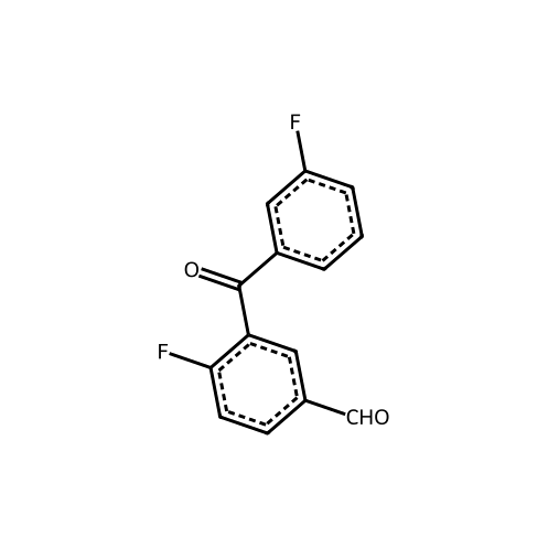 O=Cc1ccc(F)c(C(=O)c2cccc(F)c2)c1